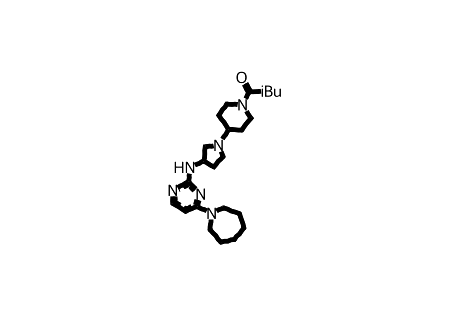 CCC(C)C(=O)N1CCC(N2CCC(Nc3nccc(N4CCCCCC4)n3)C2)CC1